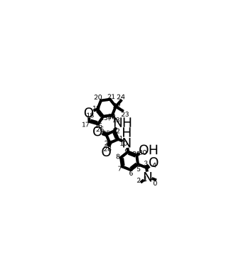 CN(C)C(=O)c1cccc(Nc2c(N[C@H]3c4ccoc4CCC3(C)C)c(=O)c2=O)c1O